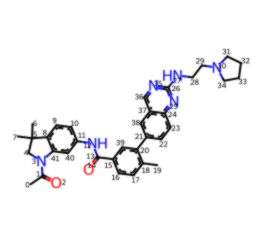 CC(=O)N1CC(C)(C)c2ccc(NC(=O)c3ccc(C)c(-c4ccc5nc(NCCN6CCCC6)ncc5c4)c3)cc21